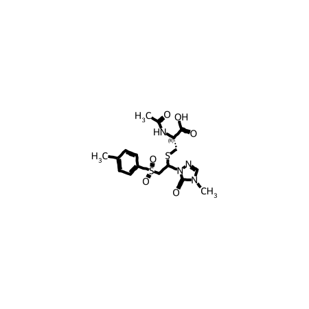 CC(=O)N[C@@H](CSC(CS(=O)(=O)c1ccc(C)cc1)n1ncn(C)c1=O)C(=O)O